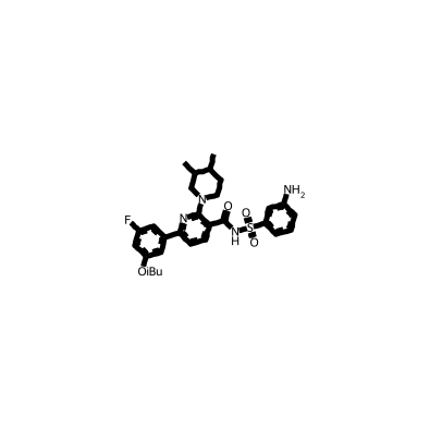 CC(C)COc1cc(F)cc(-c2ccc(C(=O)NS(=O)(=O)c3cccc(N)c3)c(N3CCC(C)C(C)C3)n2)c1